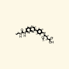 CCNC(=O)Nc1ccc2ncc(-c3ccc(N=C(CCC(=O)O)OC)cc3)nc2n1